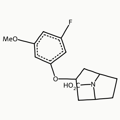 COc1cc(F)cc(OC2CC3CCC(C2)N3C(=O)O)c1